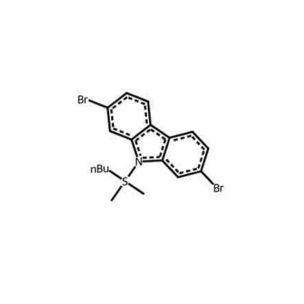 CCCCS(C)(C)n1c2cc(Br)ccc2c2ccc(Br)cc21